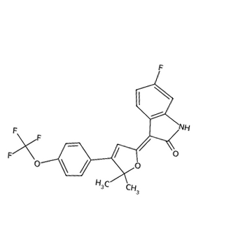 CC1(C)OC(=C2C(=O)Nc3cc(F)ccc32)C=C1c1ccc(OC(F)(F)F)cc1